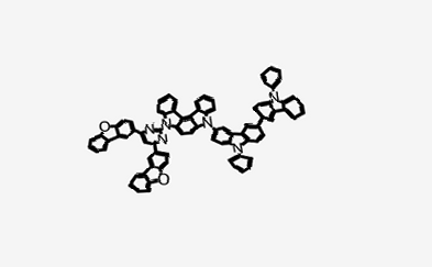 c1ccc(-n2c3ccccc3c3cc(-c4ccc5c(c4)c4cc(-n6c7ccccc7c7c8c9ccccc9n(-c9nc(-c%10ccc%11oc%12ccccc%12c%11c%10)cc(-c%10ccc%11oc%12ccccc%12c%11c%10)n9)c8ccc76)ccc4n5-c4ccccc4)ccc32)cc1